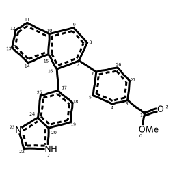 COC(=O)c1ccc(-c2ccc3ccccc3c2-c2ccc3[nH]cnc3c2)cc1